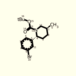 C[C@H]1CC[C@H](c2cccc(Br)c2)N(C(=O)OC(C)(C)C)C1